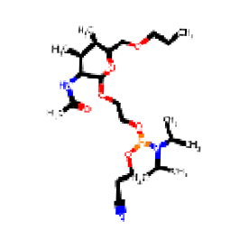 CCCOCC1OC(OCCOP(OCCC#N)N(C(C)C)C(C)C)C(NC(C)=O)C(C)C1C